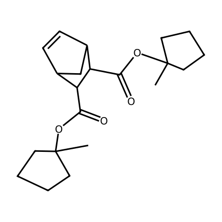 CC1(OC(=O)C2C3C=CC(C3)C2C(=O)OC2(C)CCCC2)CCCC1